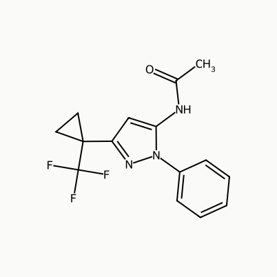 CC(=O)Nc1cc(C2(C(F)(F)F)CC2)nn1-c1ccccc1